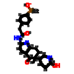 CC[S+]([O-])c1ccc(CC(=O)Nc2ccc3c(n2)CCC(C)(c2ccc(O)nc2)C3=O)cc1